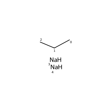 CCC.[NaH].[NaH]